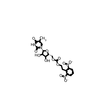 Cc1cn([C@@H]2O[C@H](COC(=O)OCCc3c([N+](=O)[O-])cccc3[N+](=O)[O-])C(O)C2O)c(=O)[nH]c1=O